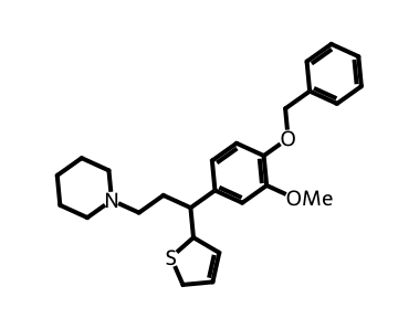 COc1cc(C(CCN2CCCCC2)C2C=CCS2)ccc1OCc1ccccc1